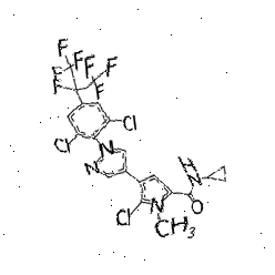 Cn1c(C(=O)NC2CC2)cc(-c2cnn(-c3c(Cl)cc(C(F)(C(F)(F)F)C(F)(F)F)cc3Cl)c2)c1Cl